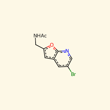 CC(=O)NCc1cc2cc(Br)cnc2o1